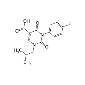 CC(C)Cn1cc(C(=O)O)c(=O)n(-c2ccc(F)cc2)c1=O